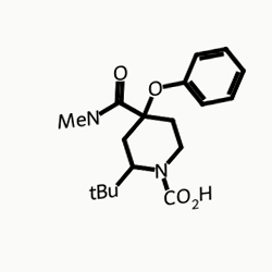 CNC(=O)C1(Oc2ccccc2)CCN(C(=O)O)C(C(C)(C)C)C1